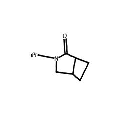 CC(C)N1CC2CCC2C1=O